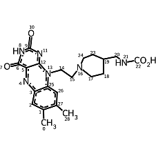 Cc1cc2nc3c(=O)[nH]c(=O)nc-3n(CCN3CCC(CNC(=O)O)CC3)c2cc1C